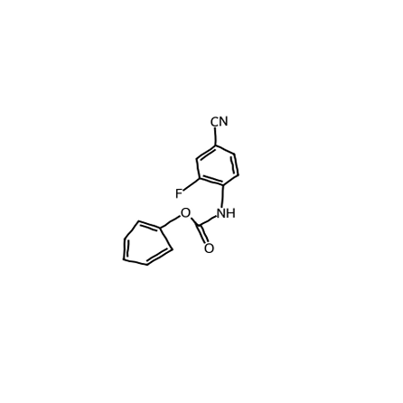 N#Cc1ccc(NC(=O)Oc2ccccc2)c(F)c1